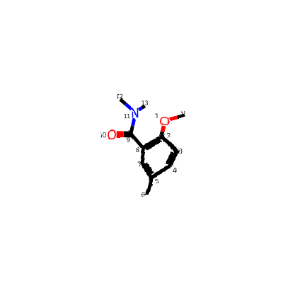 COc1ccc(C)cc1C(=O)N(C)C